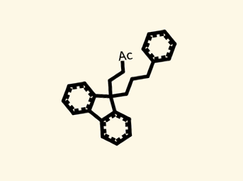 CC(=O)CCC1(CCCc2ccccc2)c2ccccc2-c2ccccc21